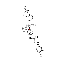 O=C(COc1ccc(Cl)c(F)c1)NC12CCC(NC(=O)c3ccc4oc(=O)ccc4c3)(CC1)[C@H](O)C2